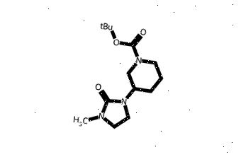 CN1CCN(C2CCCN(C(=O)OC(C)(C)C)C2)C1=O